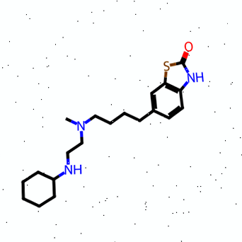 CN(CCCCc1ccc2[nH]c(=O)sc2c1)CCNC1CCCCC1